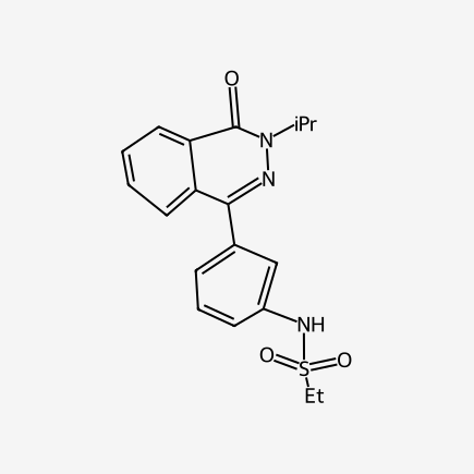 CCS(=O)(=O)Nc1cccc(-c2nn(C(C)C)c(=O)c3ccccc23)c1